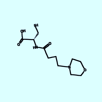 O=C(CCCN1CCOCC1)N[C@@H](CS)C(=O)O